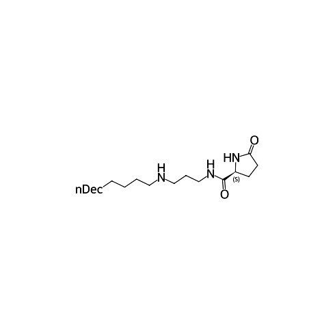 CCCCCCCCCCCCCCNCCCNC(=O)[C@@H]1CCC(=O)N1